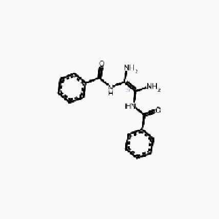 N/C(NC(=O)c1ccccc1)=C(\N)NC(=O)c1ccccc1